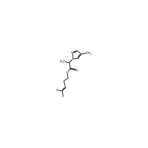 Cc1cnn(C(C)C(=O)OCCC=C(F)F)c1